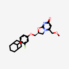 COCc1cc(=O)nc2n1C[C@@H](COc1ccc(C3C4CCCC3CCC4)c(F)c1)O2